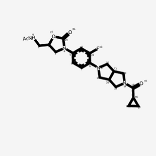 CC(=O)NCC1CN(c2ccc(N3CC4CN(C(=O)C5CC5)CC4C3)c(F)c2)C(=O)O1